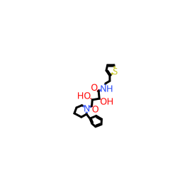 O=C(NCCc1cccs1)[C@H](O)[C@@H](O)C(=O)N1CCCCC1c1ccccc1